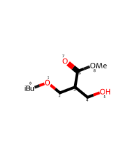 CCC(C)OCC(CO)C(=O)OC